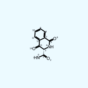 [NH]C(=O)[C@H]1NC(=O)c2ccccc2C1=O